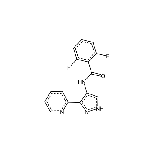 O=C(Nc1c[nH]nc1-c1ccccn1)c1c(F)cccc1F